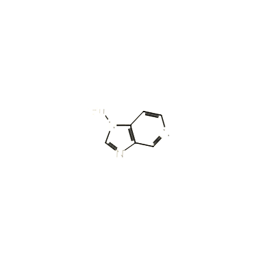 [CH2]CCCn1cnc2cnccc21